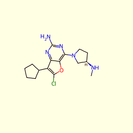 CN[C@@H]1CCN(c2nc(N)nc3c(C4CCCC4)c(Cl)oc23)C1